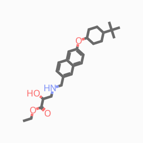 CCOC(=O)C(O)CNCc1ccc2cc(OC3CCC(C(C)(C)C)CC3)ccc2c1